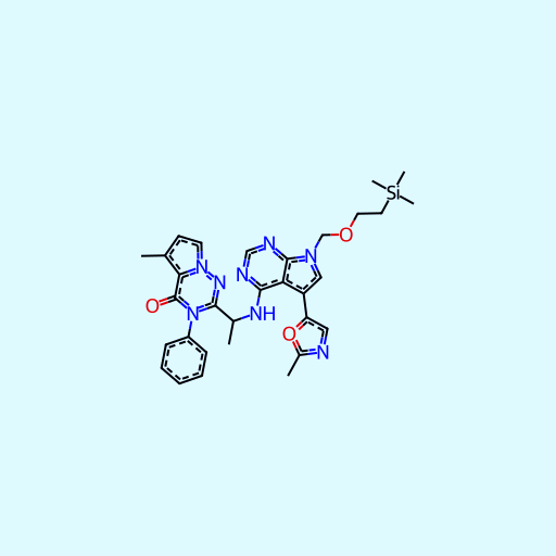 Cc1ncc(-c2cn(COCC[Si](C)(C)C)c3ncnc(NC(C)c4nn5ccc(C)c5c(=O)n4-c4ccccc4)c23)o1